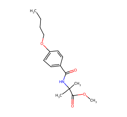 CCCCOc1ccc(C(=O)NC(C)(C)C(=O)OC)cc1